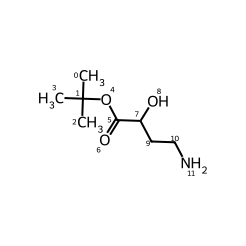 CC(C)(C)OC(=O)C(O)CCN